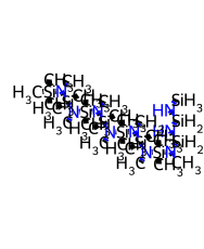 CN([SiH2]N[SiH2]N[SiH3])[Si](C)(C)N(C)[Si](C)(C)N(C)[Si](C)(C)N(C)[Si](C)(C)N(C)[Si](C)(C)N(C)[Si](C)(C)N(C)[Si](C)(C)C